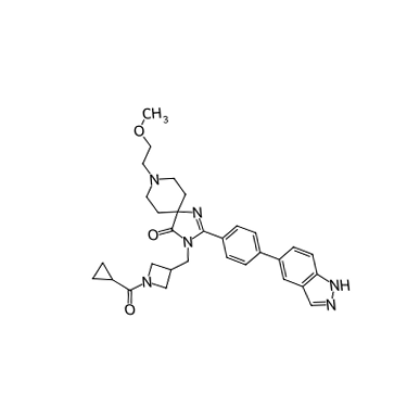 COCCN1CCC2(CC1)N=C(c1ccc(-c3ccc4[nH]ncc4c3)cc1)N(CC1CN(C(=O)C3CC3)C1)C2=O